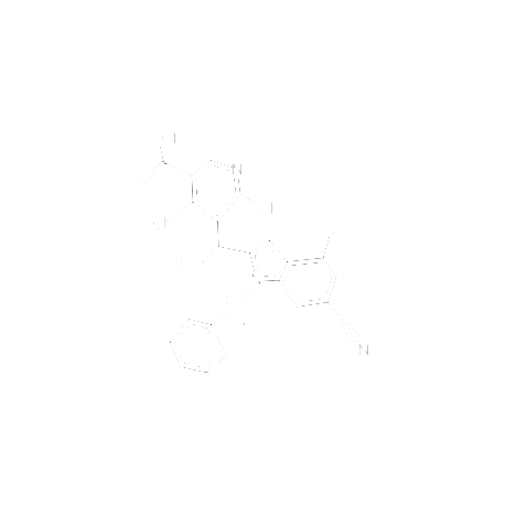 Cc1cc(C#N)cc2c1cc(C(O)c1c(Cl)ncc(C(=O)O)c1Cl)n2S(=O)(=O)c1ccccc1